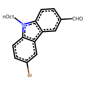 CCCCCCCCn1c2ccc(Br)cc2c2cc(C=O)ccc21